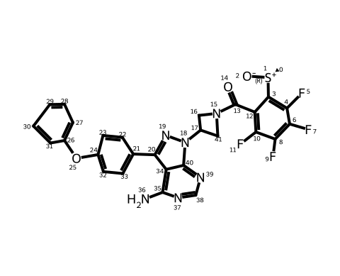 C[S@+]([O-])c1c(F)c(F)c(F)c(F)c1C(=O)N1CC(n2nc(-c3ccc(Oc4ccccc4)cc3)c3c(N)ncnc32)C1